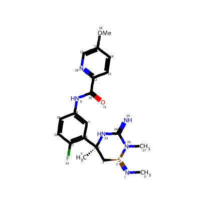 C/N=[S@]1/C[C@@](C)(c2cc(NC(=O)c3ccc(OC)cn3)ccc2F)NC(=N)N1C